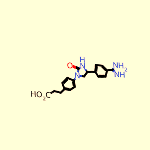 N=C(N)c1ccc(C2CN(c3ccc(CCC(=O)O)cc3)C(=O)N2)cc1